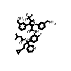 CC(C)CC(=O)NC(CCC1CC1)(c1cccnc1)c1ccc(F)c(NC(=O)c2c(-c3cccc(CN)c3)c(C(F)(F)F)nn2-c2cccc(CN)c2)c1